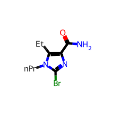 CCCn1c(Br)nc(C(N)=O)c1CC